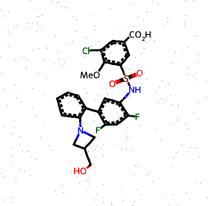 COc1c(Cl)cc(C(=O)O)cc1S(=O)(=O)Nc1cc(-c2ccccc2N2CC(CO)C2)c(F)cc1F